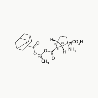 C[C@H](OC(=O)[C@H]1[C@@H]2CC[C@@](N)(C(=O)O)[C@@H]21)OC(=O)C12CC3CC(CC(C3)C1)C2